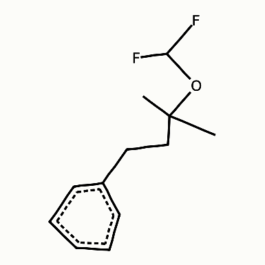 CC(C)(CCc1ccccc1)OC(F)F